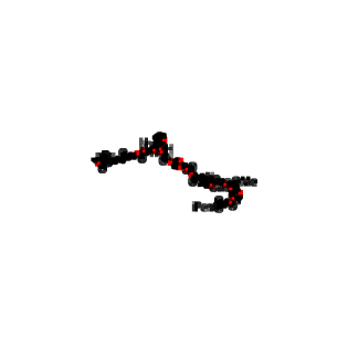 CCCCC12C(=O)N(CCCCCC(=O)CCCCC(=O)NCC(=O)NC(Cc3ccccc3)C(=O)NCC(=O)NCc3ccc(COC(=O)CCC(=O)N4Cc5cc(OC)c(OCCCOc6cc7c(cc6OC)CCSC(C(=O)CCC(=O)OC(C)CCC)=C7)nc5C4)cc3)C(=O)C1[C@H]2C